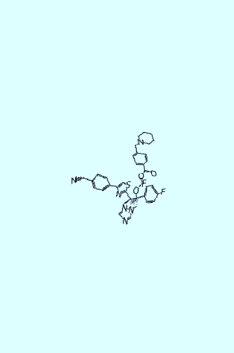 C[C@@H](c1nc(-c2ccc(C#N)cc2)cs1)[C@@](Cn1cncn1)(OCOC(=O)c1ccc(CN2CCCCC2)cc1)c1ccc(F)cc1F